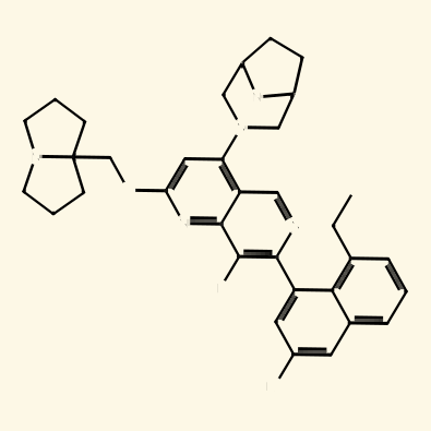 CCc1cccc2cc(O)cc(-c3ncc4c(N5CC6CCC(C5)N6)cc(OCC56CCCN5CCC6)nc4c3F)c12